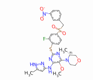 COc1c(Nc2cc(C)[nH]n2)nc(Sc2ccc(S(=O)(=O)Cc3cccc([N+](=O)[O-])c3)cc2F)nc1N1CCOC[C@H]1C